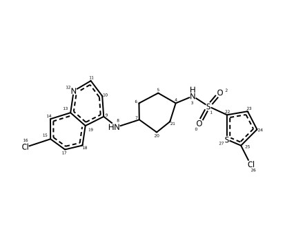 O=S(=O)(NC1CCC(Nc2ccnc3cc(Cl)ccc23)CC1)c1ccc(Cl)s1